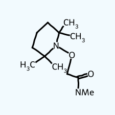 CNC(=O)CON1C(C)(C)CCCC1(C)C